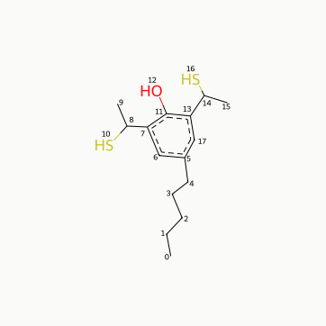 CCCCCc1cc(C(C)S)c(O)c(C(C)S)c1